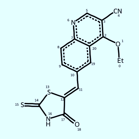 CCOc1c(C#N)cnc2ccc(/C=C3\SC(=S)NC3=O)cc12